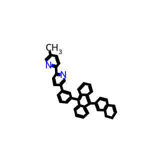 Cc1ccc(-c2ccc(-c3cccc(-c4c5ccccc5c(-c5ccc6c(c5)CCC=C6)c5ccccc45)c3)cn2)nc1